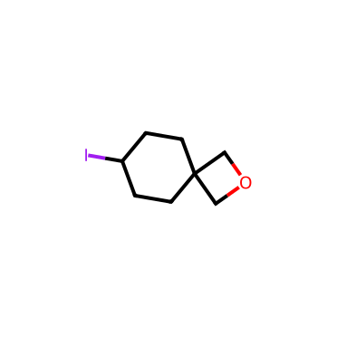 IC1CCC2(CC1)COC2